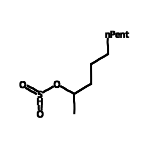 CCCCCCCCC(C)O[SH](=O)=O